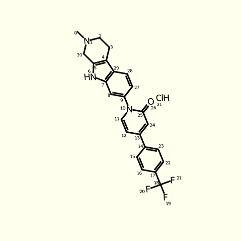 CN1CCc2c([nH]c3cc(-n4ccc(-c5ccc(C(F)(F)F)cc5)cc4=O)ccc23)C1.Cl